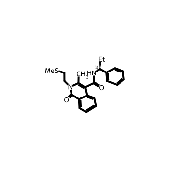 CC[C@H](NC(=O)c1c(C)n(CCSC)c(=O)c2ccccc12)c1ccccc1